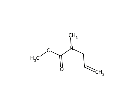 C=CCN(C)C(=O)OC